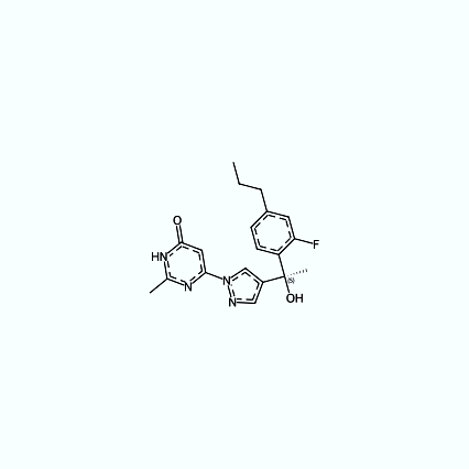 CCCc1ccc([C@@](C)(O)c2cnn(-c3cc(=O)[nH]c(C)n3)c2)c(F)c1